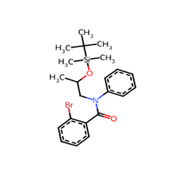 CC(CN(C(=O)c1ccccc1Br)c1ccccc1)O[Si](C)(C)C(C)(C)C